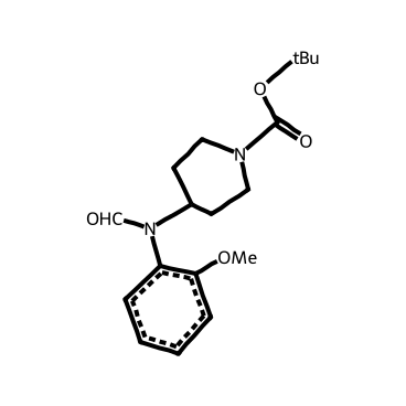 COc1ccccc1N(C=O)C1CCN(C(=O)OC(C)(C)C)CC1